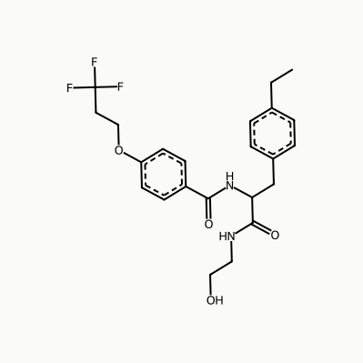 CCc1ccc(CC(NC(=O)c2ccc(OCCC(F)(F)F)cc2)C(=O)NCCO)cc1